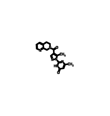 Cc1cc(=O)[nH]c(-n2ncc(C(=O)N3CCc4cccnc4C3)c2C)n1